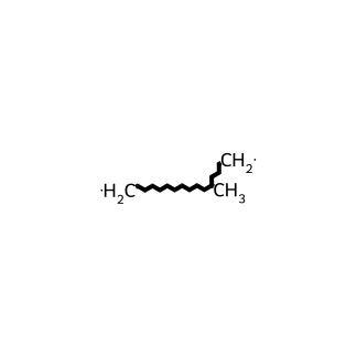 [CH2]CCCCCCCCCCC(C)CCC[CH2]